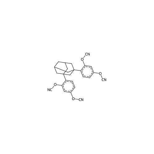 N#COc1ccc(C23CC4CC(C2)CC(c2ccc(OC#N)cc2OC#N)(C4)C3)c(OC#N)c1